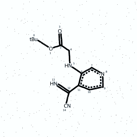 CC(C)(C)OC(=O)CNc1cnccc1C(=N)C#N